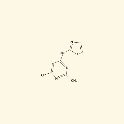 Cc1nc(Cl)cc(Nc2nccs2)n1